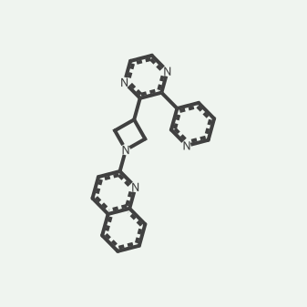 c1cncc(-c2nccnc2C2CN(c3ccc4ccccc4n3)C2)c1